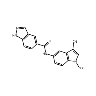 CCCn1cc(C#N)c2cc(NC(=O)c3ccc4[nH]ncc4c3)ccc21